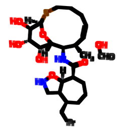 CC(C)C[C@@H]1CCC[C@H](C(=O)N[C@H]2[C@H]3O[C@H](SCCC/C=C\[C@H]2C)[C@H](O)[C@@H](O)[C@H]3O)[C@@H]2ONCC12.O=CO